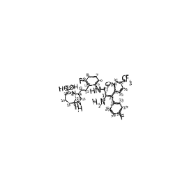 NC(C(=O)Nc1cccc(F)c1CC[C@H]1CN[C@@H]2CCCS(O)(O)N1C2)C(c1ccc(F)cc1)c1ccc(C(F)(F)F)cn1